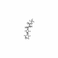 CC(C)(C)OC(=O)NNC1CN(C2CCOC2)C1